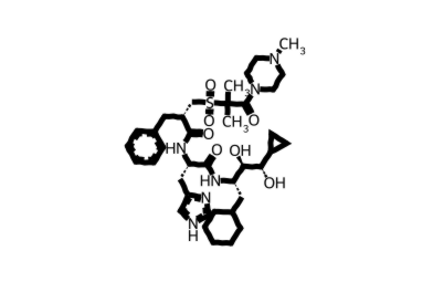 CN1CCN(C(=O)C(C)(C)S(=O)(=O)C[C@@H](Cc2ccccc2)C(=O)N[C@@H](Cc2c[nH]cn2)C(=O)N[C@@H](CC2CCCCC2)[C@@H](O)[C@@H](O)C2CC2)CC1